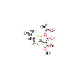 CC(C)OC(=O)C(C(=O)OC(=O)C(C)(C)C)=C1SC=CS1.CCN(CC)CC